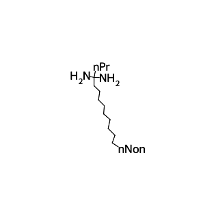 CCCCCCCCCCCCCCCCCCC(N)(N)CCC